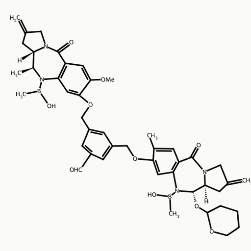 C=C1C[C@H]2[C@H](C)N(B(C)O)c3cc(OCc4cc(C=O)cc(COc5cc6c(cc5C)C(=O)N5CC(=C)C[C@H]5[C@H](OC5CCCCO5)N6B(C)O)c4)c(OC)cc3C(=O)N2C1